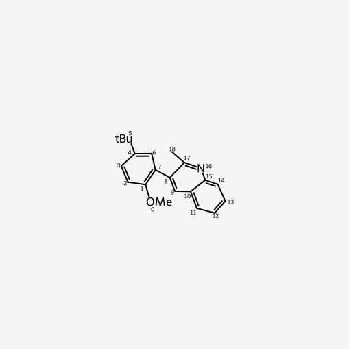 COc1ccc(C(C)(C)C)cc1-c1cc2ccccc2nc1C